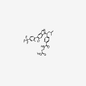 Cc1cc(C(F)(F)F)ccc1-c1cc2cnn(C(CC(C)C)c3ccc(C(=O)NCCC(=O)O)cc3)c2cc1Cl